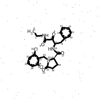 CCNC(=O)C(=O)C(Cc1ccccc1)NC(=O)[C@H]1CCC(=O)N1Cc1c(Cl)cccc1Cl